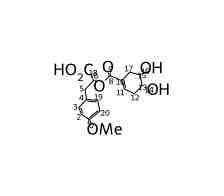 COc1ccc(C[C@H](OC(=O)C2=CC[C@@H](O)[C@H](O)C2)C(=O)O)cc1